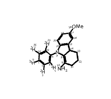 [2H]c1c([2H])c([2H])c(N2C3=C(N)CCCC3c3cc(OC)ccc32)c([2H])c1[2H]